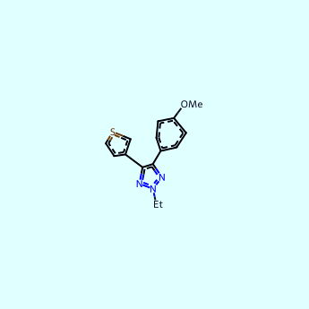 CCn1nc(-c2ccc(OC)cc2)c(-c2ccsc2)n1